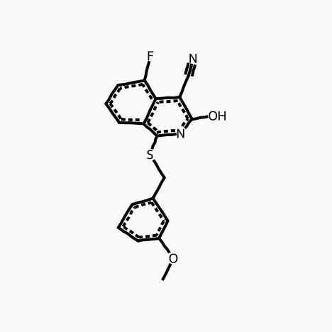 COc1cccc(CSc2nc(O)c(C#N)c3c(F)cccc23)c1